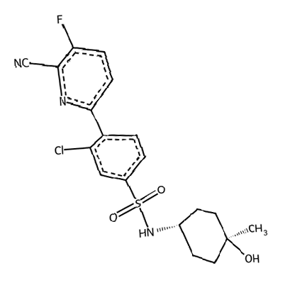 C[C@]1(O)CC[C@H](NS(=O)(=O)c2ccc(-c3ccc(F)c(C#N)n3)c(Cl)c2)CC1